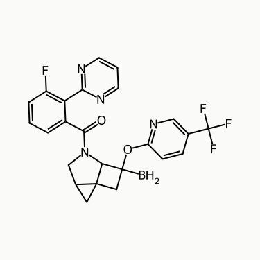 BC1(Oc2ccc(C(F)(F)F)cn2)CC23CC2CN(C(=O)c2cccc(F)c2-c2ncccn2)C13